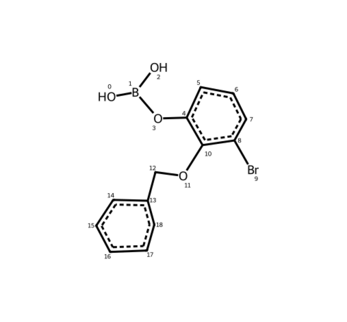 OB(O)Oc1cccc(Br)c1OCc1ccccc1